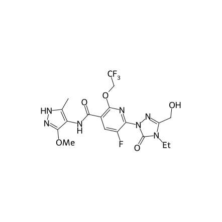 CCn1c(CO)nn(-c2nc(OCC(F)(F)F)c(C(=O)Nc3c(OC)n[nH]c3C)cc2F)c1=O